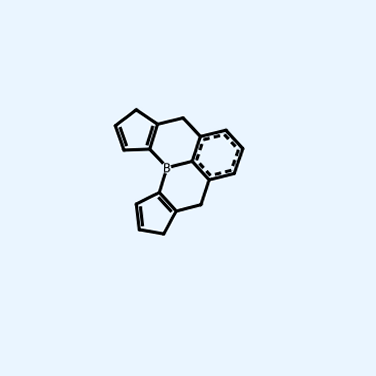 C1=CC2=C(C1)Cc1cccc3c1B2C1=C(CC=C1)C3